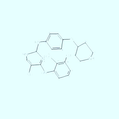 CC1=CNC(Nc2ccc(OC3CCNCC3)cc2)N=C1Nc1cccc(C)c1C